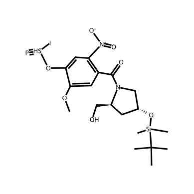 COc1cc(C(=O)N2C[C@H](O[Si](C)(C)C(C)(C)C)C[C@H]2CO)c([N+](=O)[O-])cc1O[SH](#P)I